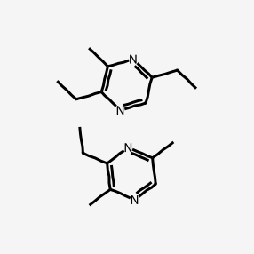 CCc1cnc(CC)c(C)n1.CCc1nc(C)cnc1C